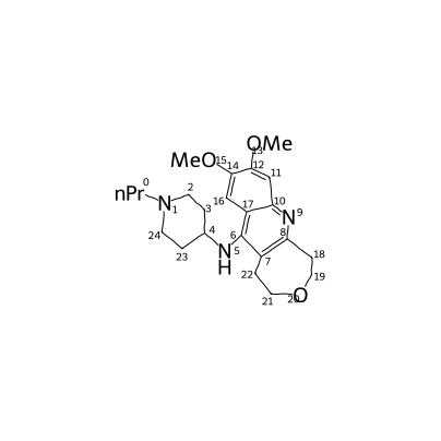 CCCN1CCC(Nc2c3c(nc4cc(OC)c(OC)cc24)CCOCC3)CC1